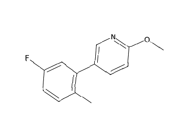 COc1ccc(-c2cc(F)ccc2C)cn1